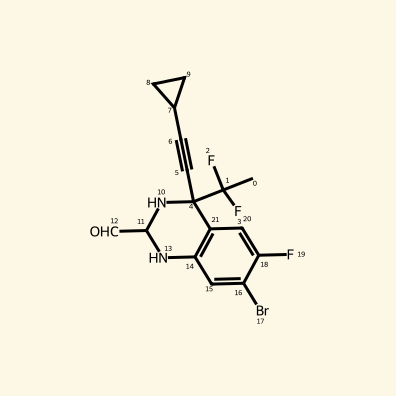 CC(F)(F)C1(C#CC2CC2)NC(C=O)Nc2cc(Br)c(F)cc21